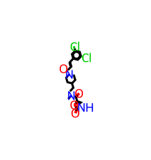 CN(CCC1CCN(C(=O)C=Cc2cc(Cl)cc(Cl)c2)CC1)C(=O)c1c[nH]c(=O)o1